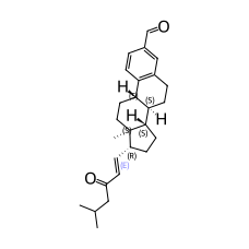 CC(C)CC(=O)/C=C/[C@H]1CC[C@H]2[C@@H]3CCc4cc(C=O)ccc4[C@H]3CC[C@]12C